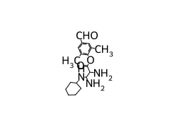 Cc1cc(C=O)cc(C)c1OC(=O)C(N)C(N)NC1CCCCC1